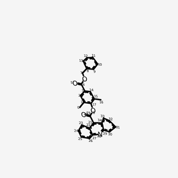 Cc1cc(C(=O)OCc2ccccc2)cc(C)c1OC(=O)c1c2ccccc2nc2ccccc12